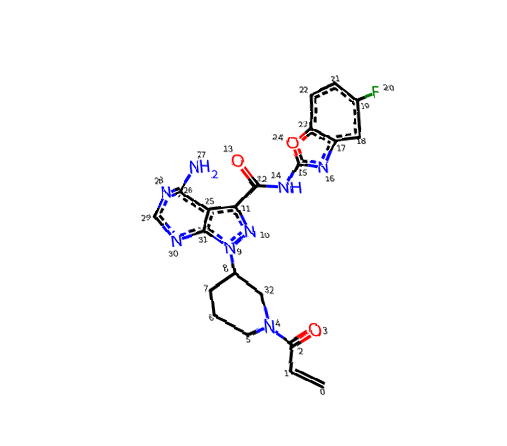 C=CC(=O)N1CCCC(n2nc(C(=O)Nc3nc4cc(F)ccc4o3)c3c(N)ncnc32)C1